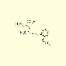 CC(CCCc1ccccc1OC(F)(F)F)CC(CN)C(=O)O